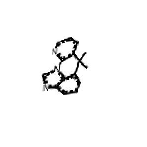 CC1(C)c2cccnc2-n2cnc3cccc1c32